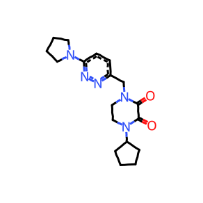 O=C1C(=O)N(C2CCCC2)CCN1Cc1ccc(N2CCCC2)nn1